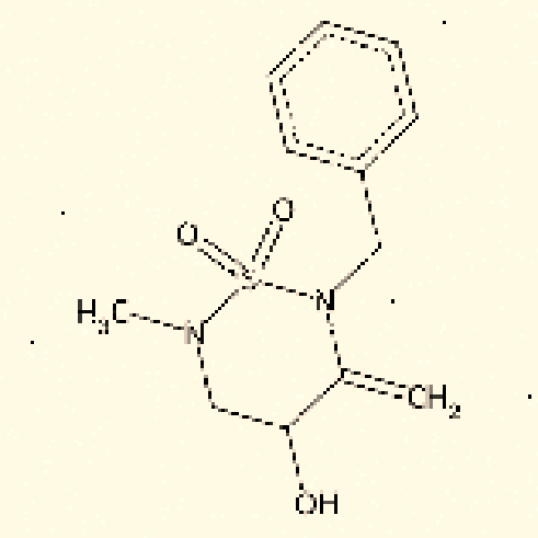 C=C1C(O)CN(C)S(=O)(=O)N1Cc1ccccc1